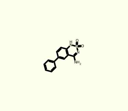 NC1=NS(=O)(=O)Nc2ccc(-c3ccccc3)cc21